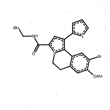 COc1cc2c(cc1Br)-c1c(-c3cccs3)cc(C(=O)NCC(C)(C)C)n1CC2